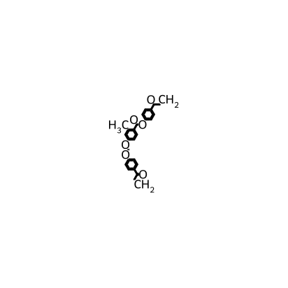 C=CC(=O)c1ccc(OCOc2ccc(C(=O)Oc3ccc(C(=O)C=C)cc3)c(C)c2)cc1